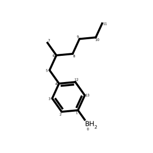 Bc1ccc(CC(C)CCCC)cc1